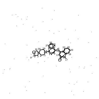 C[C@H]1CC2(CCN(c3ncc(Sc4cc(=O)n(C)c5ccccc45)c4nccn34)CC2)CO1